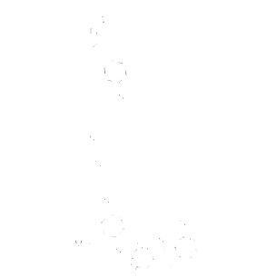 COc1cc(N2CCC(N3CCN(C[C@H]4C[C@H](N(C)c5ccc(C6CCC(=O)NC6=O)cc5)C4)CC3)CC2)c(C)cc1Nc1ncc(Br)c(Nc2cccc3c2N(S(C)(=O)=O)CC3)n1